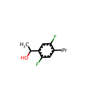 CC(C)c1cc(F)c(C(C)O)cc1F